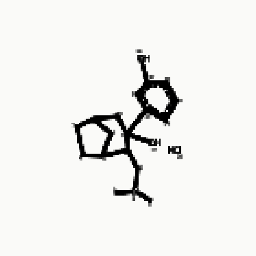 CN(C)CC1C2CCC(C2)CC1(O)c1cccc(O)c1.Cl